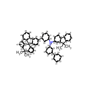 CC1(C)c2ccccc2-c2ccc(N(c3cccc(-c4ccccc4)c3)c3cccc(-c4ccc5c(c4)-c4ccccc4C54c5ccccc5C(C)(C)c5ccccc54)c3)cc21